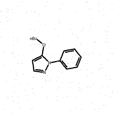 CCCCOc1ccnn1-c1ccccc1